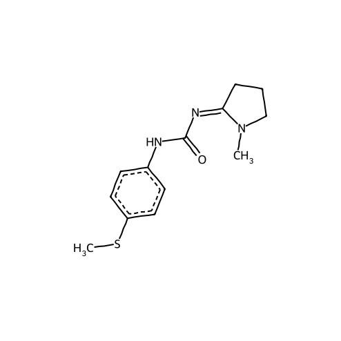 CSc1ccc(NC(=O)N=C2CCCN2C)cc1